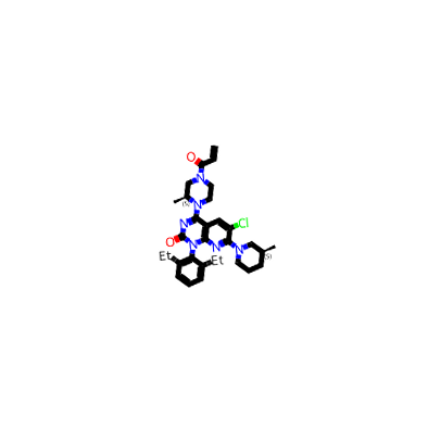 C=CC(=O)N1CCN(c2nc(=O)n(-c3c(CC)cccc3CC)c3nc(N4CCC[C@H](C)C4)c(Cl)cc23)[C@@H](C)C1